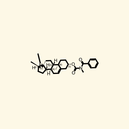 C[C@H]1[C@H]2CC[C@H]3[C@@H]4CC=C5C[C@@H](OC(=O)N(C)C(=O)c6ccccc6)CC[C@]5(C)[C@H]4CC[C@]23CN1C